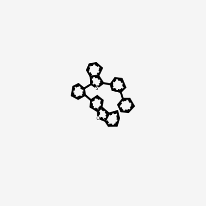 c1ccc(-c2cccc(-c3sc(-c4ccccc4-c4ccc5c(c4)oc4ccccc45)c4ccccc34)c2)cc1